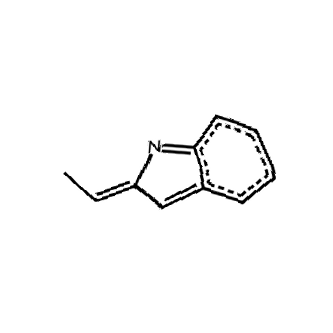 CC=C1C=c2ccccc2=N1